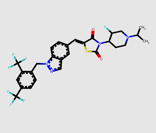 CC(C)N1CCC(N2C(=O)SC(=Cc3ccc4c(cnn4Cc4ccc(C(F)(F)F)cc4C(F)(F)F)c3)C2=O)C(F)C1